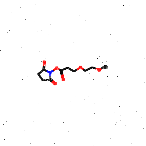 CCCOCCOCCC(=O)ON1C(=O)CCC1=O